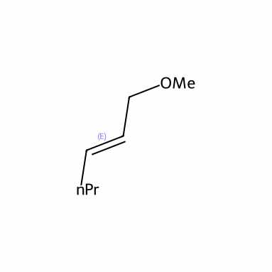 CCC/C=C/COC